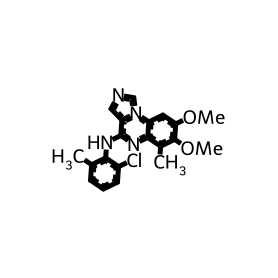 COc1cc2c(nc(Nc3c(C)cccc3Cl)c3cncn32)c(C)c1OC